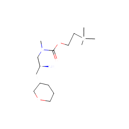 CN(C[C@@H](N)C[C@@H]1CCCOC1)C(=O)OCC[Si](C)(C)C